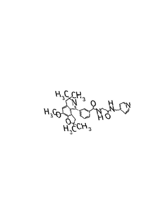 COc1cc2c(c3c1OC(C)(C)C3)C(c1cccc(C(=O)NCC(=O)NCc3ccncc3)c1)=NC(C)(C)C2